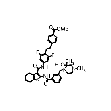 COC(=O)c1ccc(CCc2c(F)cc(NC(=O)c3c(NC(=O)c4cccc(CN5CCN(C)CC5(C)C)c4)sc4c3CCCC4)cc2F)cc1